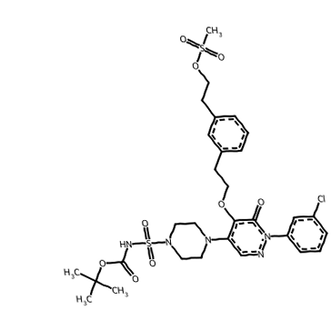 CC(C)(C)OC(=O)NS(=O)(=O)N1CCN(c2cnn(-c3cccc(Cl)c3)c(=O)c2OCCc2cccc(CCOS(C)(=O)=O)c2)CC1